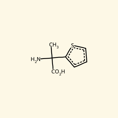 CC(N)(C(=O)O)c1cccs1